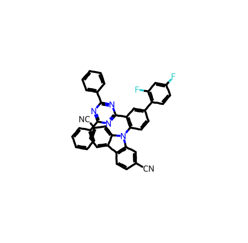 N#Cc1ccc2c3ccc(C#N)cc3n(-c3ccc(-c4ccc(F)cc4F)cc3-c3nc(-c4ccccc4)nc(-c4ccccc4)n3)c2c1